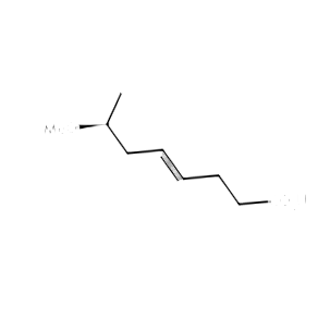 CO[C@@H](C)C/C=C/CCC(=O)O